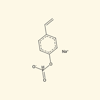 C=Cc1ccc(O[PH](=O)[O-])cc1.[Na+]